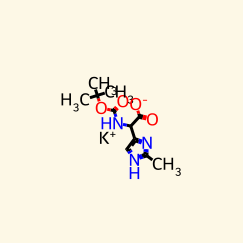 Cc1nc(C(NC(=O)OC(C)(C)C)C(=O)[O-])c[nH]1.[K+]